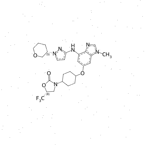 Cn1cnc2c(Nc3ccn([C@H]4CCCOC4)n3)cc(OC3CCC(N4C[C@H](C(F)(F)F)OC4=O)CC3)cc21